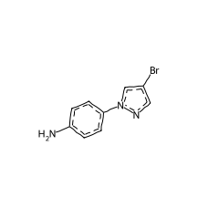 Nc1ccc(-n2cc(Br)cn2)cc1